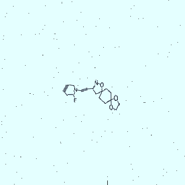 FC1=CC#CCN1C#CC1=NOC2(CCC3(CC2)OCCO3)C1